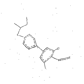 CCC(C)Cc1ccc(-c2cc(C)c(N=C=S)c(Cl)c2)cc1